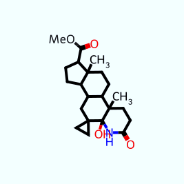 COC(=O)C1CCC2C3CC4(CC4)C4(O)NC(=O)CCC4(C)C3CCC12C